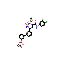 COC(=O)c1cccc(-c2cccc(C3CC(C(=O)Nc4ccc(F)c(Cl)c4)N(C)S(=O)(=O)N3)c2)c1